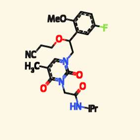 COc1ccc(F)cc1C(Cn1cc(C)c(=O)n(CC(=O)NC(C)C)c1=O)OCCC#N